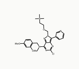 COc1ccc(CN(C)c2nc(Cl)nc3c(-c4cccnc4)n(COCC[Si](C)(C)C)nc23)c(OC)c1